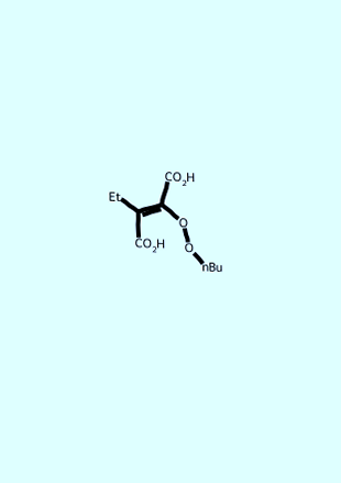 CCCCOOC(C(=O)O)=C(CC)C(=O)O